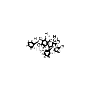 Cc1c(C)c2c(c(C)c1OCc1ccccc1)CC[C@@](C)(C(=O)N1C(=O)OC[C@@H]1Cc1ccccc1)O2